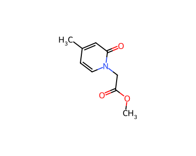 COC(=O)Cn1ccc(C)cc1=O